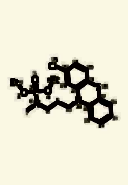 CCOP(=O)(OCC)N(C)CCCN1c2ccccc2Sc2ccc(Cl)cc21